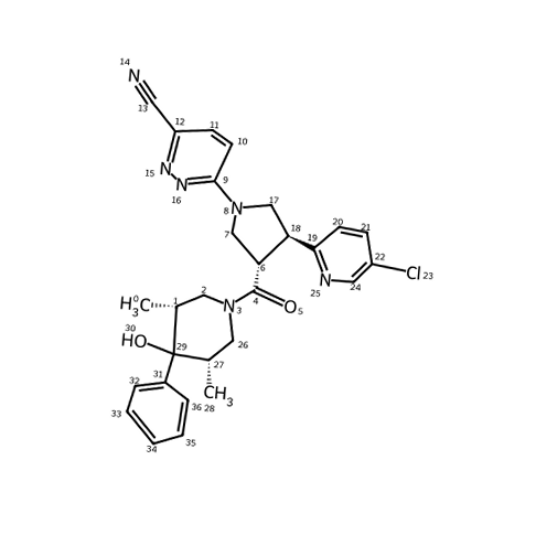 C[C@@H]1CN(C(=O)[C@@H]2CN(c3ccc(C#N)nn3)C[C@H]2c2ccc(Cl)cn2)C[C@H](C)C1(O)c1ccccc1